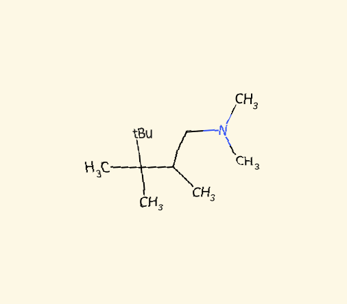 CC(CN(C)C)C(C)(C)C(C)(C)C